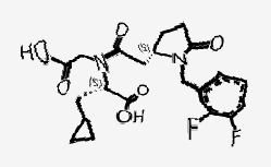 O=C(O)CN(C(=O)C[C@@H]1CCC(=O)N1Cc1cccc(F)c1F)[C@@H](CC1CC1)C(=O)O